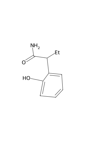 CCC(C(N)=O)c1ccccc1O